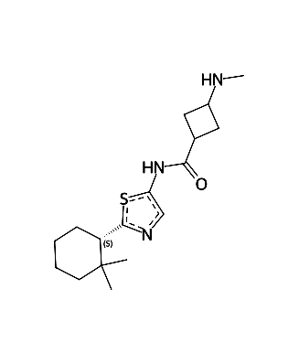 CNC1CC(C(=O)Nc2cnc([C@H]3CCCCC3(C)C)s2)C1